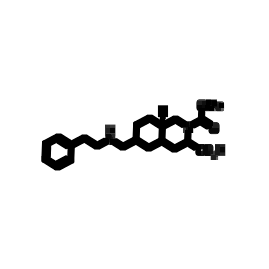 COC(=O)N1C[C@@H]2CCC(CNCCc3ccccc3)CC2CC1C(=O)O